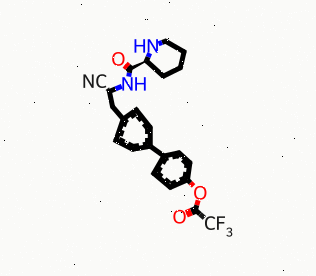 N#C[C@H](Cc1ccc(-c2ccc(OC(=O)C(F)(F)F)cc2)cc1)NC(=O)[C@@H]1CCCCN1